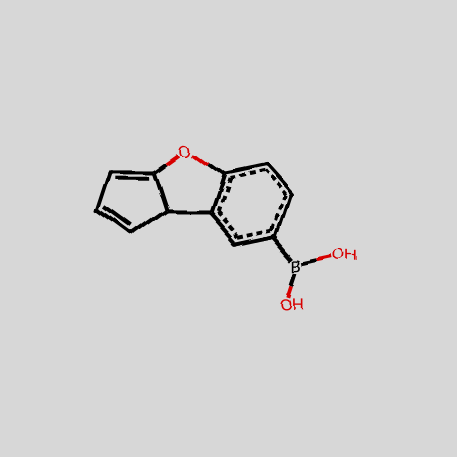 OB(O)c1ccc2c(c1)C1C=CC=C1O2